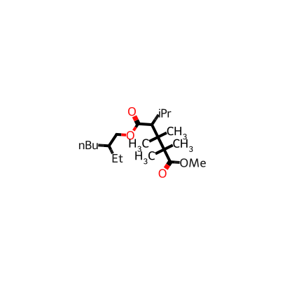 CCCCC(CC)COC(=O)C(C(C)C)C(C)(C)C(C)(C)C(=O)OC